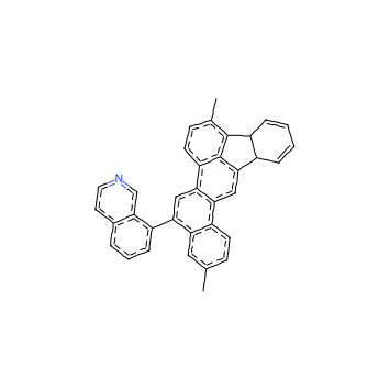 Cc1ccc2c(c1)c(-c1cccc3ccncc13)cc1c3ccc(C)c4c3c(cc21)C1C=CC=CC41